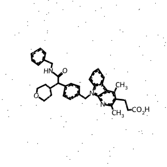 Cc1nc2c(c(C)c1CCC(=O)O)c1ccccc1n2Cc1ccc(C(C(=O)NCc2ccccc2)C2CCOCC2)cc1